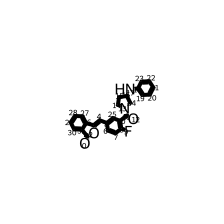 O=C1OC(=Cc2ccc(F)c(C(=O)N3CC[C@@H](Nc4ccccc4)C3)c2)c2ccccc21